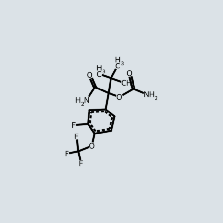 CC(C)(C)C(OC(N)=O)(C(N)=O)c1ccc(OC(F)(F)F)c(F)c1